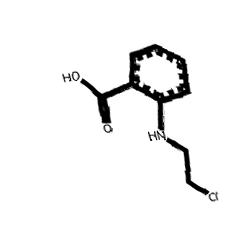 O=C(O)c1ccccc1NCCCl